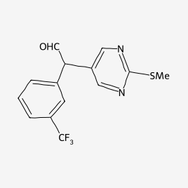 CSc1ncc(C(C=O)c2cccc(C(F)(F)F)c2)cn1